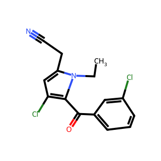 CCn1c(CC#N)cc(Cl)c1C(=O)c1cccc(Cl)c1